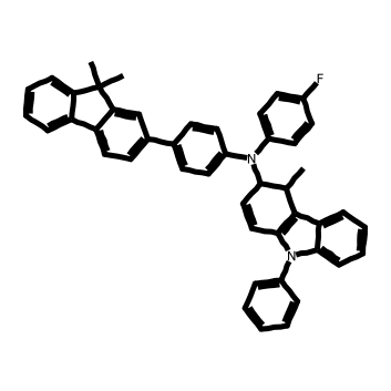 CC1c2c(n(-c3ccccc3)c3ccccc23)C=CC1N(c1ccc(F)cc1)c1ccc(-c2ccc3c(c2)C(C)(C)c2ccccc2-3)cc1